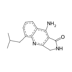 CC(C)Cc1cccc2c(N)c3c(nc12)CNC3=O